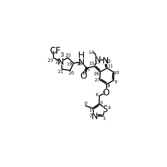 Cc1ncsc1COc1ccc2nn(C)c(C(=O)NC3CCN(CC(F)(F)F)C3)c2c1